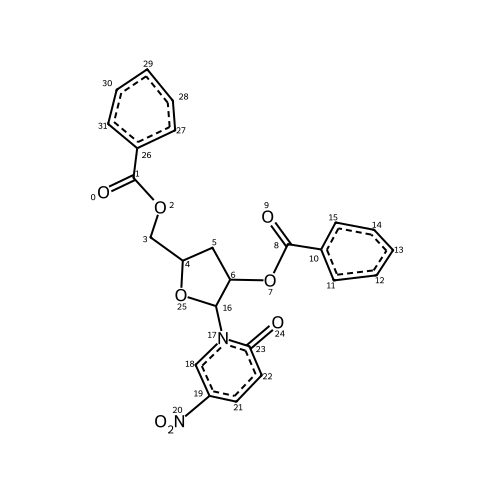 O=C(OCC1CC(OC(=O)c2ccccc2)C(n2cc([N+](=O)[O-])ccc2=O)O1)c1ccccc1